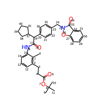 Cc1c(CCC(=O)OC(C)(C)C)cccc1NC(=O)C(c1ccc(Cn2oc3ccccc3c2=O)cc1)C1CCCC1